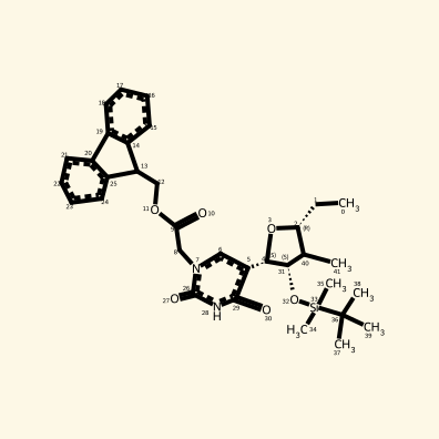 CC[C@H]1O[C@@H](c2cn(CC(=O)OCC3c4ccccc4-c4ccccc43)c(=O)[nH]c2=O)[C@@H](O[Si](C)(C)C(C)(C)C)C1C